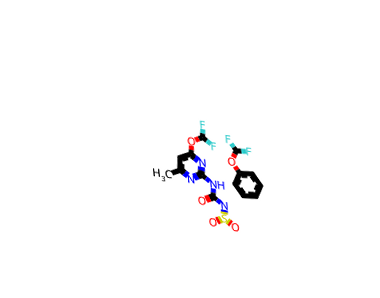 Cc1cc(OC(F)F)nc(NC(=O)N=S(=O)=O)n1.FC(F)Oc1ccccc1